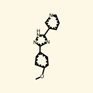 COc1ccc(-c2n[nH]c(-c3cccnc3)n2)cc1